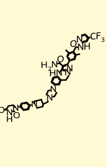 Cc1cc(-c2nn3c(c2C(N)=O)Nc2ccc(N4CCN(CC5CCN(c6ccc(N7CCC(=O)NC7=O)cc6)CC5)CC4)cc2CC3)cc(C)c1C(=O)Nc1cc(C(F)(F)F)ccn1